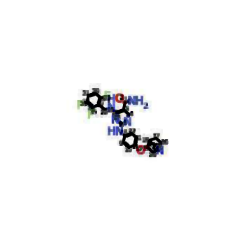 NC(=O)c1cnc(Nc2ccc(OC3CN4CCC3CC4)cc2)nc1NCc1c(F)ccc(F)c1F